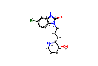 O=c1[nH]c2cc(Br)ccc2n1CCC[C@H]1NCCC[C@@H]1O